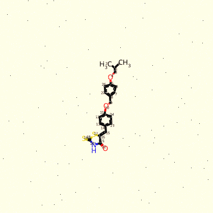 CC(C)COc1ccc(COc2ccc(/C=C3\SC(=S)NC3=O)cc2)cc1